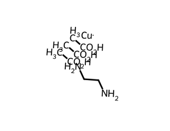 CC(=O)O.CC(=O)O.CC(=O)O.NCCN.[Cu]